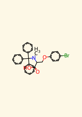 CN(C(COc1ccc(Br)cc1)C(=O)O)C(c1ccccc1)(c1ccccc1)c1ccccc1